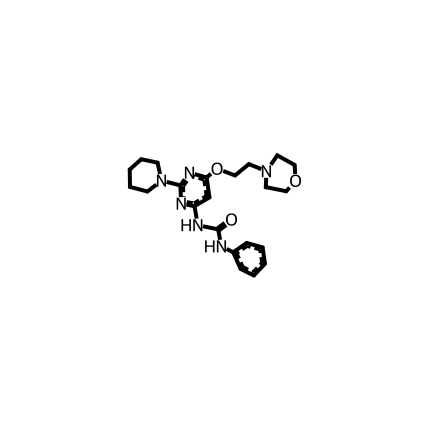 O=C(Nc1ccccc1)Nc1cc(OCCN2CCOCC2)nc(N2CCCCC2)n1